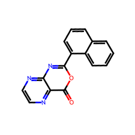 O=c1oc(-c2cccc3ccccc23)nc2nccnc12